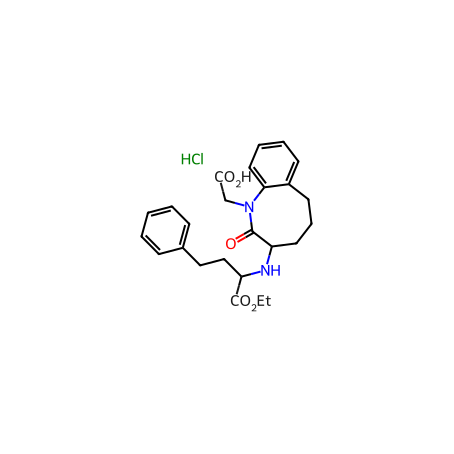 CCOC(=O)C(CCc1ccccc1)NC1CCCc2ccccc2N(CC(=O)O)C1=O.Cl